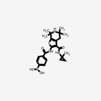 CC1(C)Cc2c(sc(NC(=O)c3ccc(B(O)O)cc3)c2C(=O)NC2(C)CC2)C(C)(C)N1